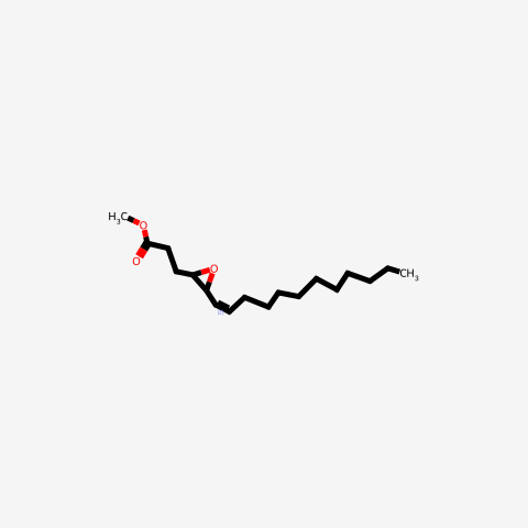 CCCCCCCCCC/C=C\C1OC1CCC(=O)OC